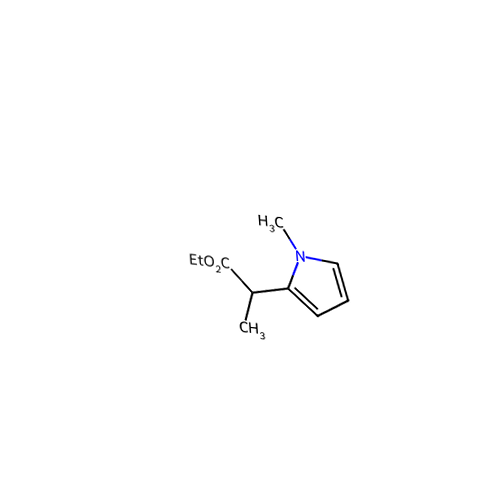 CCOC(=O)C(C)c1cccn1C